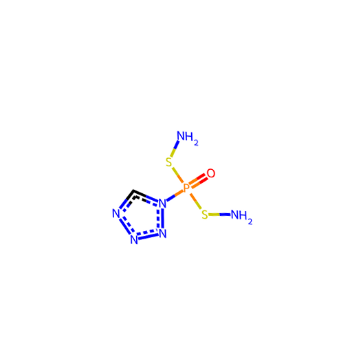 NSP(=O)(SN)n1cnnn1